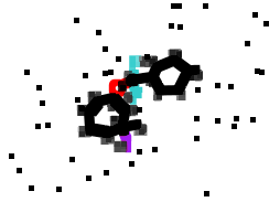 CC1CCC(C(F)(F)OC2=CC(C)(I)C=CC=C2)CC1